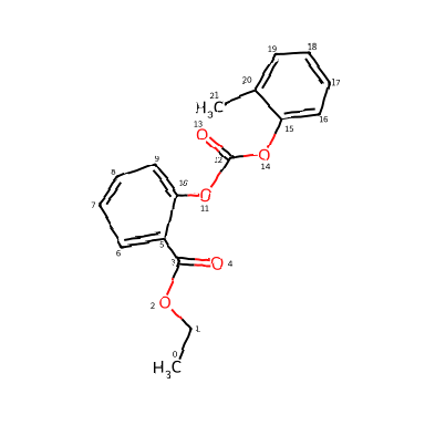 CCOC(=O)c1ccccc1OC(=O)Oc1ccccc1C